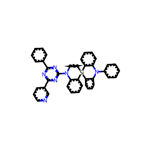 c1ccc(-c2nc(-c3cccnc3)nc(N3c4ccccc4[Si]4(c5ccccc5N(c5ccccc5)c5ccccc54)c4ccccc43)n2)cc1